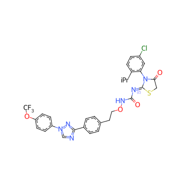 CC(C)c1ccc(Cl)cc1N1C(=O)CS/C1=N\C(=O)NOCCc1ccc(-c2ncn(-c3ccc(OC(F)(F)F)cc3)n2)cc1